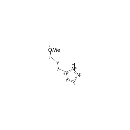 COCCCc1ccn[nH]1